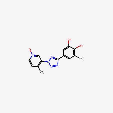 O=[N+]([O-])c1cc(-c2nnn(-c3c[n+]([O-])ccc3C(F)(F)F)n2)cc(O)c1O